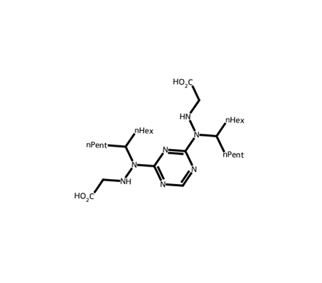 CCCCCCC(CCCCC)N(NCC(=O)O)c1ncnc(N(NCC(=O)O)C(CCCCC)CCCCCC)n1